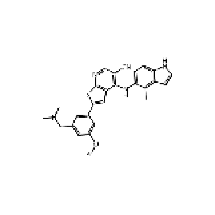 Cc1c(Nc2c(C#N)cnc3sc(-c4cc(CN(C)C)cc(OC(C)C)c4)cc23)ccc2[nH]ccc12